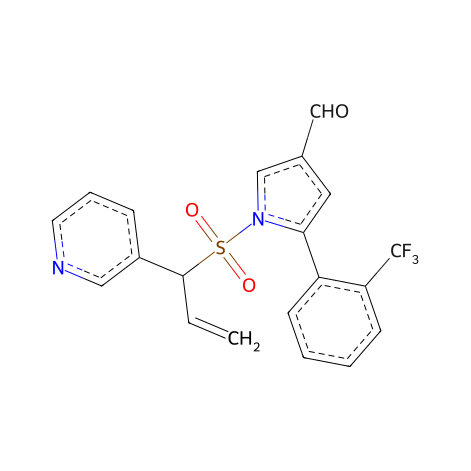 C=CC(c1cccnc1)S(=O)(=O)n1cc(C=O)cc1-c1ccccc1C(F)(F)F